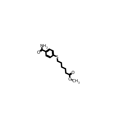 COC(=O)CCCCCSc1ccc(C(N)=O)cc1